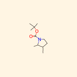 CC1CCN(C(=O)OC(C)(C)C)C1C